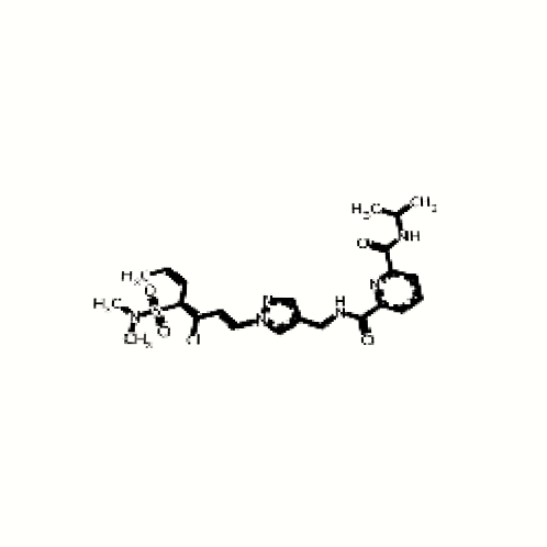 C\C=C/C(=C(Cl)\C=C\n1cc(CNC(=O)c2cccc(C(=O)NC(C)C)n2)cn1)S(=O)(=O)N(C)C